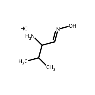 CC(C)C(N)C=NO.Cl